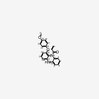 C=CC(=O)Nc1ccccc1Nc1cc(Oc2ccc(OC)cc2)ccn1